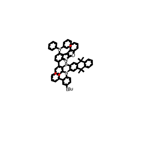 Cc1cc2c3c(c1)N(c1ccc(C(C)(C)C)cc1-c1ccccc1)c1cc4c(cc1B3n1c3oc5ccccc5c3c3c(N(c5ccccc5)c5ccccc5)ccc-2c31)C(C)(C)c1ccccc1C4(C)C